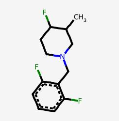 CC1CN(Cc2c(F)cccc2F)CCC1F